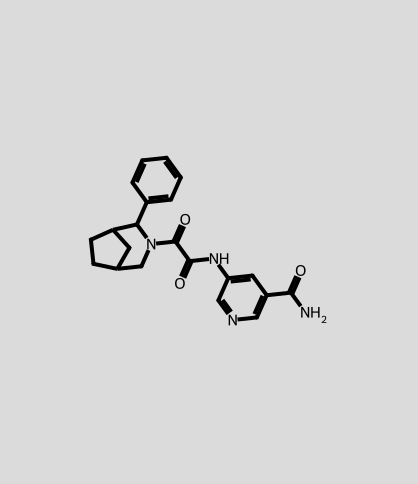 NC(=O)c1cncc(NC(=O)C(=O)N2CC3CCC(C3)C2c2ccccc2)c1